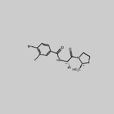 CC(C)[C@H](NC(=O)c1ccc(Br)c(F)c1)C(=O)N1CCC[C@H]1C(=O)O